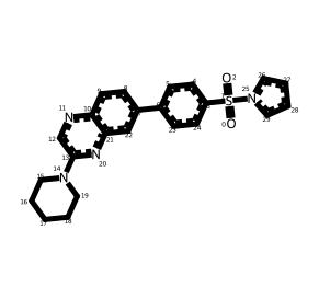 O=S(=O)(c1ccc(-c2ccc3ncc(N4CCCCC4)nc3c2)cc1)n1cccc1